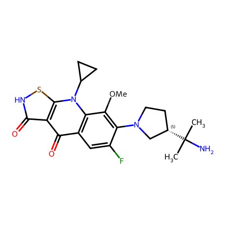 COc1c(N2CC[C@H](C(C)(C)N)C2)c(F)cc2c(=O)c3c(=O)[nH]sc3n(C3CC3)c12